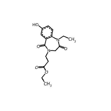 CCOC(=O)CCN1CC(=O)N(CC)c2ccc(O)cc2C1=O